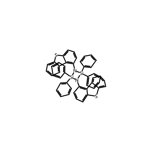 c1ccc([Si]2(c3ccccc3)N(c3cccc4sc5ccccc5c34)[Si](c3ccccc3)(c3ccccc3)N2c2cccc3sc4ccccc4c23)cc1